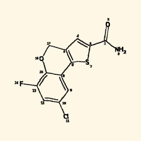 NC(=O)c1cc2c(s1)-c1cc(Cl)cc(F)c1OC2